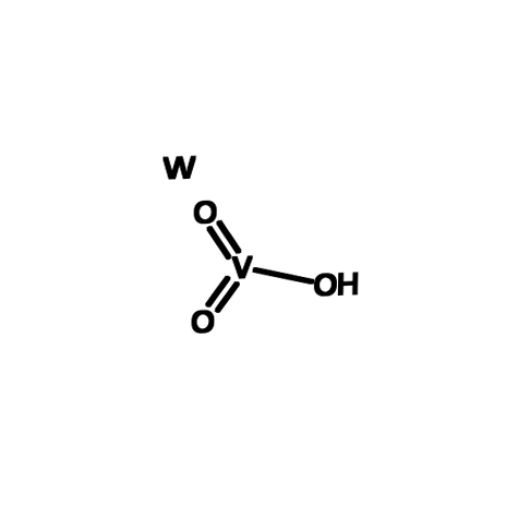 [O]=[V](=[O])[OH].[W]